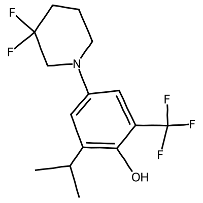 CC(C)c1cc(N2CCCC(F)(F)C2)cc(C(F)(F)F)c1O